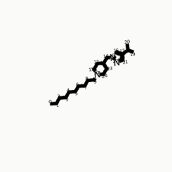 CCCCCCCCCCN1CCC(Cn2cc(C(C)C)cn2)CC1